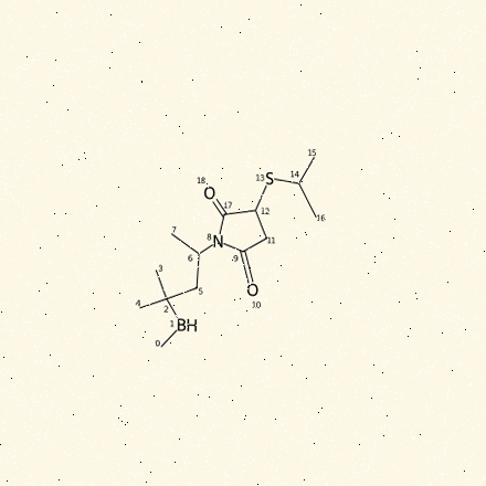 CBC(C)(C)CC(C)N1C(=O)CC(SC(C)C)C1=O